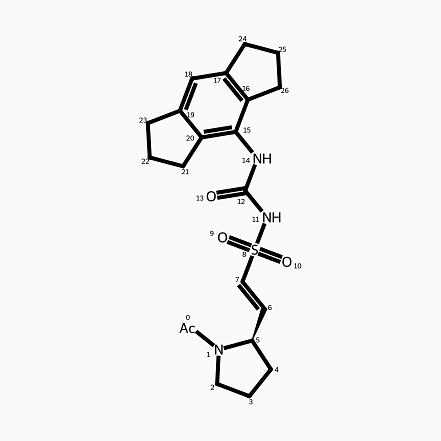 CC(=O)N1CCC[C@@H]1/C=C/S(=O)(=O)NC(=O)Nc1c2c(cc3c1CCC3)CCC2